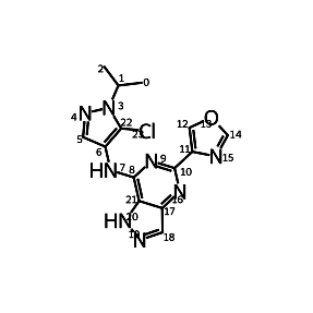 CC(C)n1ncc(Nc2nc(-c3cocn3)nc3cn[nH]c23)c1Cl